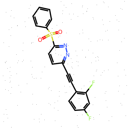 O=S(=O)(c1ccccc1)c1ccc(C#Cc2ccc(F)cc2F)nn1